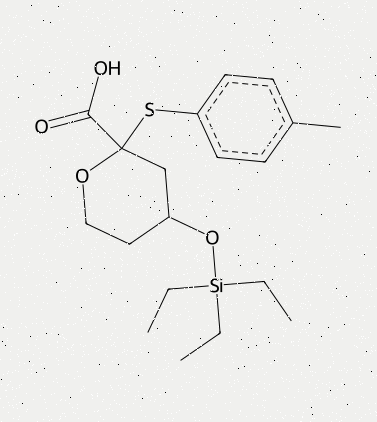 CC[Si](CC)(CC)OC1CCOC(Sc2ccc(C)cc2)(C(=O)O)C1